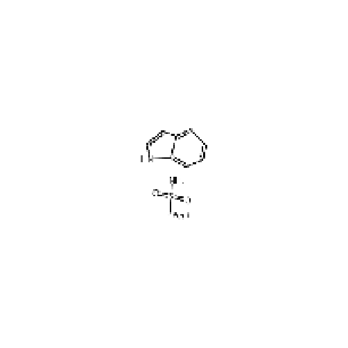 CCCCCS(N)(=O)=O.c1ccc2[nH]ccc2c1